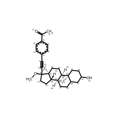 COC1(C#Cc2ccc(C(C)=O)cc2)CC[C@H]2[C@@H]3CCC4CC(O)CC[C@]4(C)[C@@H]3CC[C@@]21C